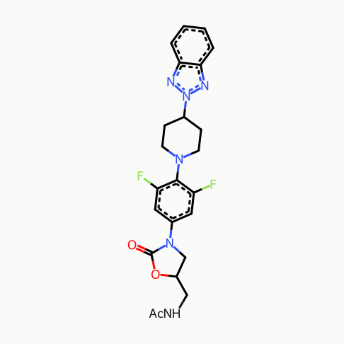 CC(=O)NCC1CN(c2cc(F)c(N3CCC(n4nc5ccccc5n4)CC3)c(F)c2)C(=O)O1